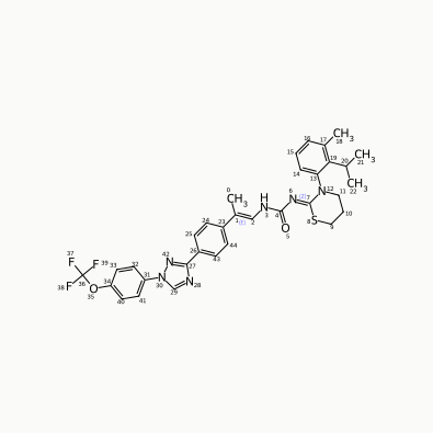 C/C(=C\NC(=O)/N=C1\SCCCN1c1cccc(C)c1C(C)C)c1ccc(-c2ncn(-c3ccc(OC(F)(F)F)cc3)n2)cc1